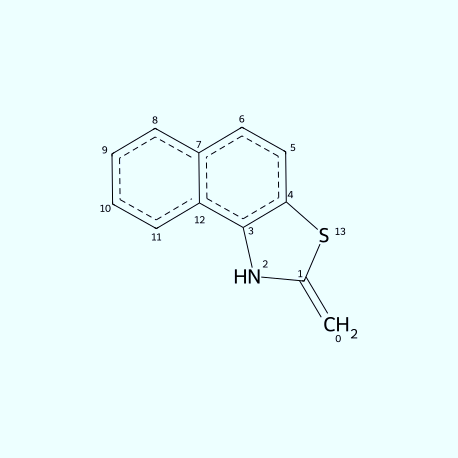 C=C1Nc2c(ccc3ccccc23)S1